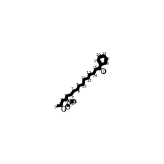 CC(=O)CC(CCCCCCCCCCCC(=O)c1ccccc1)[N+](=O)[O-]